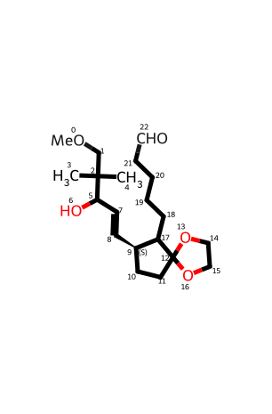 COCC(C)(C)C(O)C=C[C@@H]1CCC2(OCCO2)C1CCCCC=O